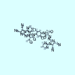 CC(=O)C(N=Nc1nc(C#N)c(C#N)n1-c1ncccn1)C(=O)Nc1cc(Cl)c(NC(=O)C(N=Nc2nc(C#N)c(C#N)n2-c2ncccn2)C(C)=O)cc1Cl